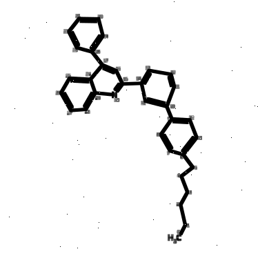 CCCCCCc1ccc(-c2cccc(-c3cc(-c4ccccc4)c4ccccc4n3)c2)cc1